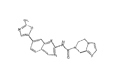 Cc1ncc(-c2ccc3cnc(NC(=O)N4CCn5ccnc5C4)nc3c2)o1